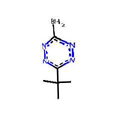 Bc1nnc(C(C)(C)C)nn1